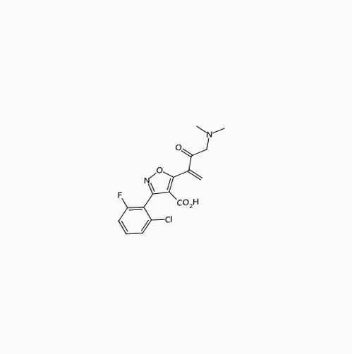 C=C(C(=O)CN(C)C)c1onc(-c2c(F)cccc2Cl)c1C(=O)O